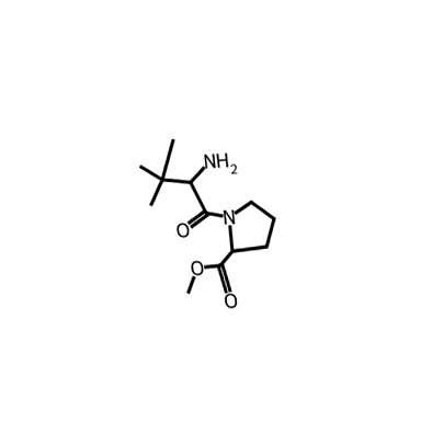 COC(=O)C1CCCN1C(=O)C(N)C(C)(C)C